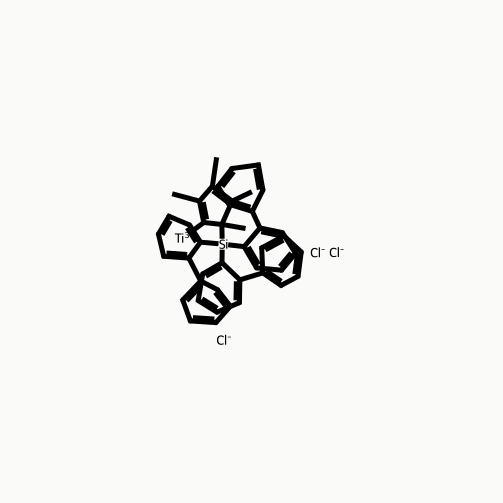 CC1=C(C)C(C)([Si](c2ccccc2-c2ccccc2)(c2ccccc2-c2ccccc2)c2ccccc2-c2ccccc2)[C]([Ti+3])=C1C.[Cl-].[Cl-].[Cl-]